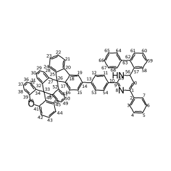 C1=C(c2ccccc2)N=C(c2ccc(-c3ccc4c(c3)-c3ccccc3C43c4ccccc4C4(c5ccccc5Oc5ccccc54)c4ccccc43)cc2)NC1c1ccccc1-c1ccccc1